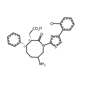 NC1CC[C@H](c2ccccc2)[C@H](CC(=O)O)C(=O)N(c2nc(-c3ccccc3Cl)cs2)C1